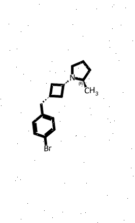 C[C@@H]1CCCN1[C@H]1C[C@@H](Cc2ccc(Br)cc2)C1